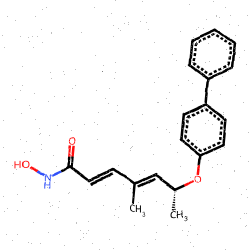 CC(/C=C/C(=O)NO)=C\[C@@H](C)Oc1ccc(-c2ccccc2)cc1